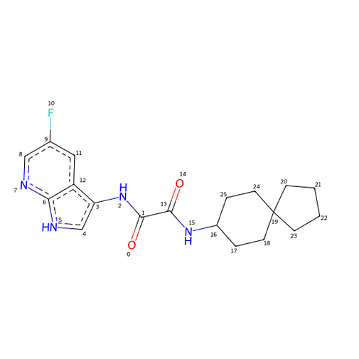 O=C(Nc1c[nH]c2ncc(F)cc12)C(=O)NC1CCC2(CCCC2)CC1